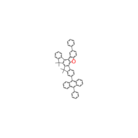 CC1(C)c2cc(-c3c4ccccc4c(-c4ccccc4)c4ccccc34)ccc2-c2c1c1c(c3c2oc2ccc(-c4ccccc4)cc23)-c2ccccc2C1(C)C